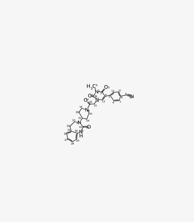 Cn1c(=O)c(-c2ccc(C#N)cc2)cn(CC(=O)N2CCC(N3CCc4ccccc4NC3=O)CC2)c1=O